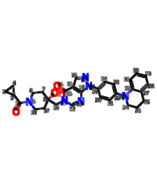 O=C(C1CC1)N1CCC(O)(Cn2cnc3c(cnn3-c3ccc(N4CCCc5ccccc54)cc3)c2=O)CC1